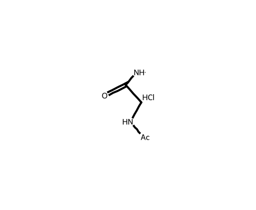 CC(=O)NCC([NH])=O.Cl